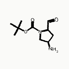 CC(C)(C)OC(=O)N1CC(N)CC1C=O